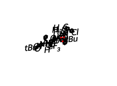 CC1(C)CCC(c2ccc(Cl)cc2)=C(CN2CCN(c3ccc(C(=O)NS(=O)(=O)c4ccc(N[C@H](CCN5CCN(C(=O)OC(C)(C)C)CC5)CSc5ccccc5)c(S(=O)(=O)C(F)(F)F)c4)cc3)[C@@H](CO[Si](c3ccccc3)(c3ccccc3)C(C)(C)C)C2)C1